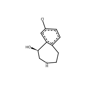 O[C@@H]1CNCCc2ccc(Cl)cc21